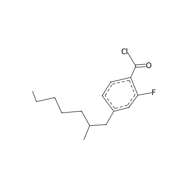 CCCCCC(C)Cc1ccc(C(=O)Cl)c(F)c1